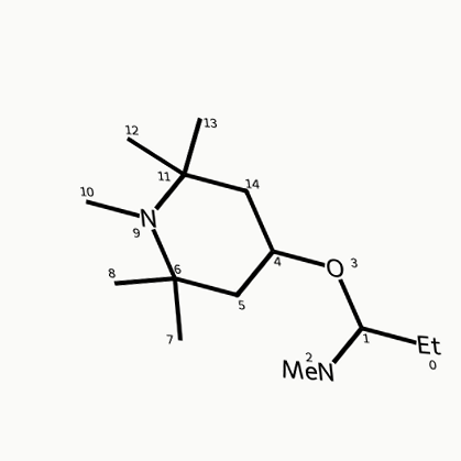 CCC(NC)OC1CC(C)(C)N(C)C(C)(C)C1